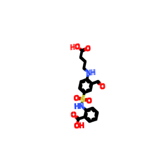 O=Cc1cc(S(=O)(=O)Nc2ccccc2C(=O)O)ccc1NCCCC(=O)O